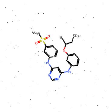 CCC(CC(=O)O)Oc1cccc(Nc2cc(Nc3cccc(S(=O)(=O)NC)c3)ncn2)c1